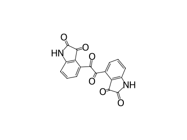 O=C1Nc2cccc(C(=O)C(=O)c3cccc4c3C(=O)C(=O)N4)c2C1=O